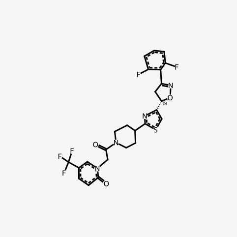 O=C(Cn1cc(C(F)(F)F)ccc1=O)N1CCC(c2nc([C@@H]3CC(c4c(F)cccc4F)=NO3)cs2)CC1